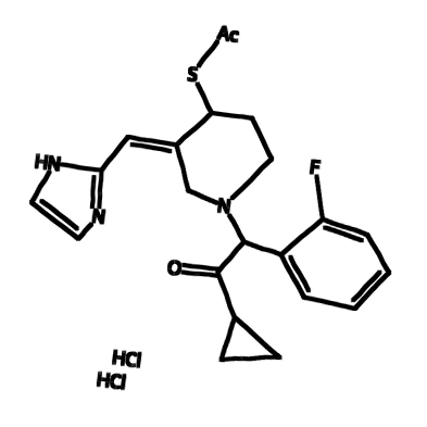 CC(=O)SC1CCN(C(C(=O)C2CC2)c2ccccc2F)CC1=Cc1ncc[nH]1.Cl.Cl